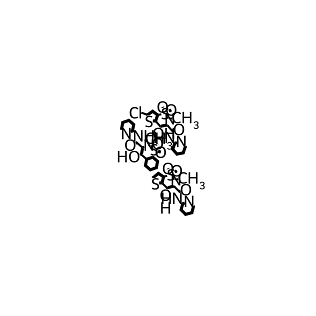 CN1C(C(=O)Nc2ccccn2)=C(O)c2ccccc2S1(=O)=O.CN1C(C(=O)Nc2ccccn2)=C(O)c2sc(Cl)cc2S1(=O)=O.CN1C(C(=O)Nc2ccccn2)=C(O)c2sccc2S1(=O)=O